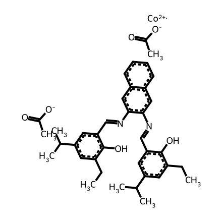 CC(=O)[O-].CC(=O)[O-].CCc1cc(C(C)C)cc(C=Nc2cc3ccccc3cc2N=Cc2cc(C(C)C)cc(CC)c2O)c1O.[Co+2]